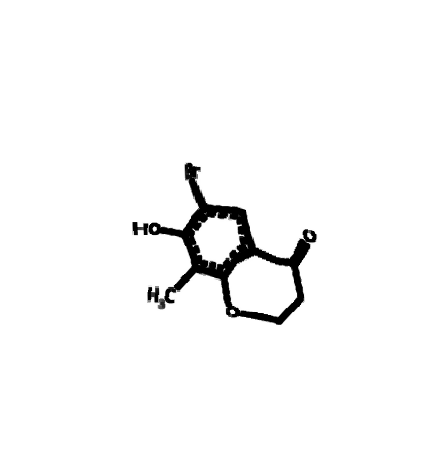 Cc1c(O)c(Br)cc2c1OCCC2=O